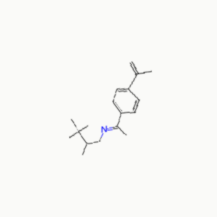 C=C(C)c1ccc(/C(C)=N/CC(C)C(C)(C)C)cc1